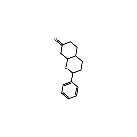 O=C1CCC2CCC(c3ccccc3)OC2C1